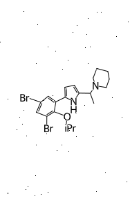 CC(C)Oc1c(Br)cc(Br)cc1-c1ccc(C(C)N2CCCCC2)[nH]1